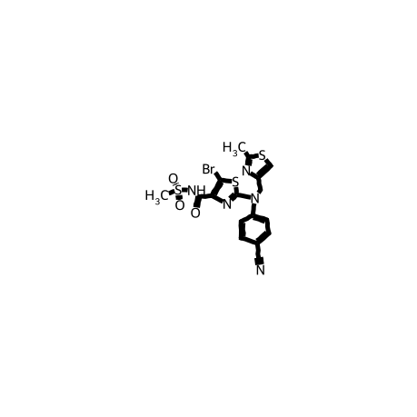 Cc1nc(CN(c2ccc(C#N)cc2)c2nc(C(=O)NS(C)(=O)=O)c(Br)s2)cs1